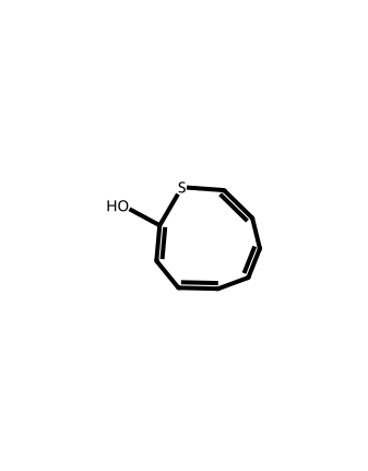 Oc1cccccccs1